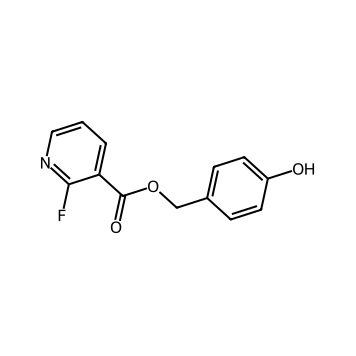 O=C(OCc1ccc(O)cc1)c1cccnc1F